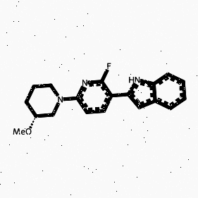 CO[C@@H]1CCCN(c2ccc(-c3cc4ccccc4[nH]3)c(F)n2)C1